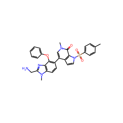 Cc1ccc(S(=O)(=O)n2ccc3c(-c4ccc5c(nc(CN)n5C)c4Oc4ccccc4)cn(C)c(=O)c32)cc1